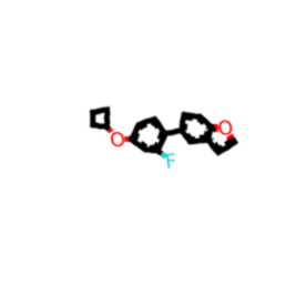 Fc1cc(OC2CCC2)ccc1-c1ccc2occc2c1